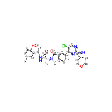 Cc1cccc([C@@H](CO)NC(=O)[C@@H](C)N2Cc3ccc(-c4nc(NC5CCOCC5)ncc4Cl)cc3C2=O)c1